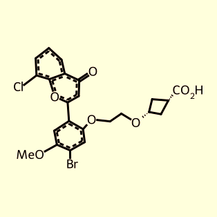 COc1cc(-c2cc(=O)c3cccc(Cl)c3o2)c(OCCO[C@H]2C[C@@H](C(=O)O)C2)cc1Br